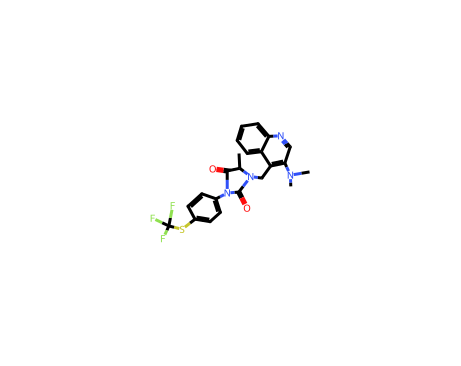 CC1C(=O)N(c2ccc(SC(F)(F)F)cc2)C(=O)N1Cc1c(N(C)C)cnc2ccccc12